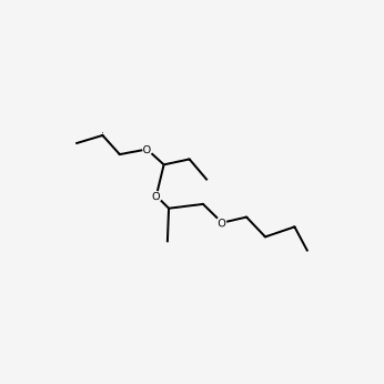 C[CH]COC(CC)OC(C)COCCCC